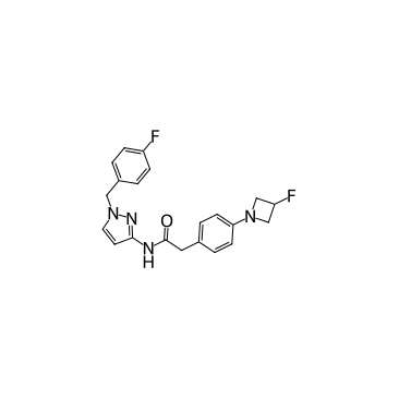 O=C(Cc1ccc(N2CC(F)C2)cc1)Nc1ccn(Cc2ccc(F)cc2)n1